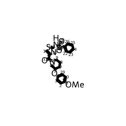 COc1ccc(OC2CCCN(C(=O)c3csc(NS(=O)(=O)c4ccccc4)n3)C2)cc1